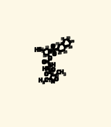 Cc1noc(C)c1S(=O)(=O)NNC(=O)O[C@H]1C[C@@H](S)CN1S(=O)(=O)c1ccc2ccccc2c1